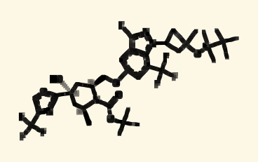 C[C@H]1C[C@@](O)(c2nc(C(F)(F)F)co2)C[C@@H](COc2cc(C(F)(F)F)c3c(c2)c(F)nn3C2CC(C)(O[Si](C)(C)C(C)(C)C)C2)N1C(=O)OC(C)(C)C